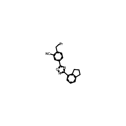 CC(C)Cc1ccc(-c2nc(-c3cccc4c3CCC4)no2)cc1C#N